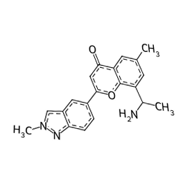 Cc1cc(C(C)N)c2oc(-c3ccc4nn(C)cc4c3)cc(=O)c2c1